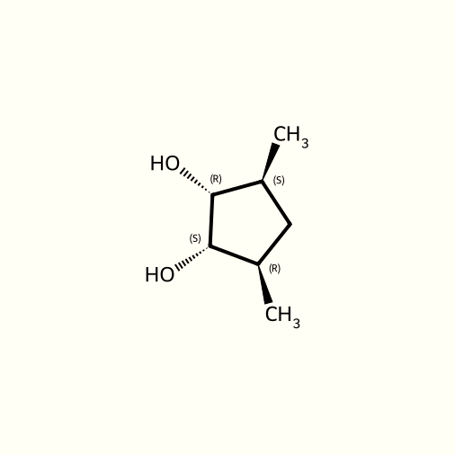 C[C@@H]1C[C@H](C)[C@@H](O)[C@H]1O